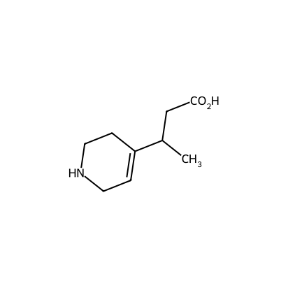 CC(CC(=O)O)C1=CCNCC1